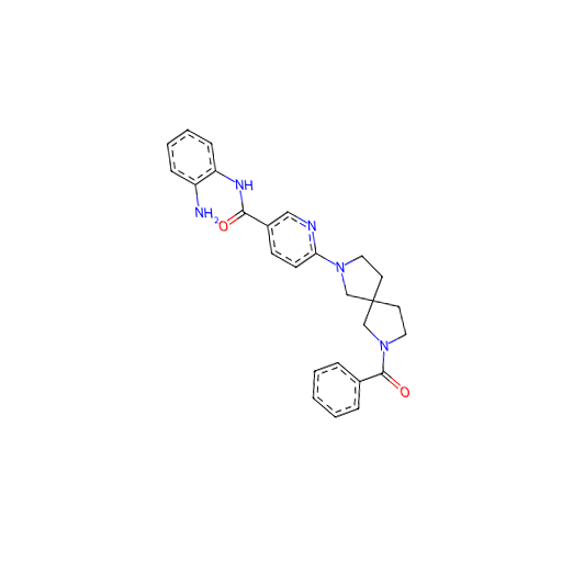 Nc1ccccc1NC(=O)c1ccc(N2CCC3(CCN(C(=O)c4ccccc4)C3)C2)nc1